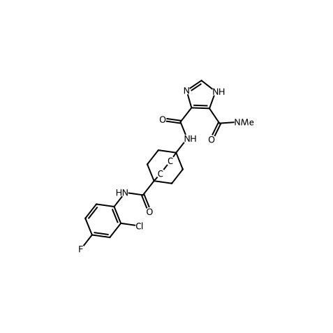 CNC(=O)c1[nH]cnc1C(=O)NC12CCC(C(=O)Nc3ccc(F)cc3Cl)(CC1)CC2